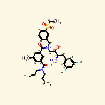 CCCN(CCC)C(=O)c1cc(C)cc(C(=O)N(Cc2cccc(S(=O)(=O)CC)c2)CC(O)C(N)Cc2cc(F)cc(F)c2)c1